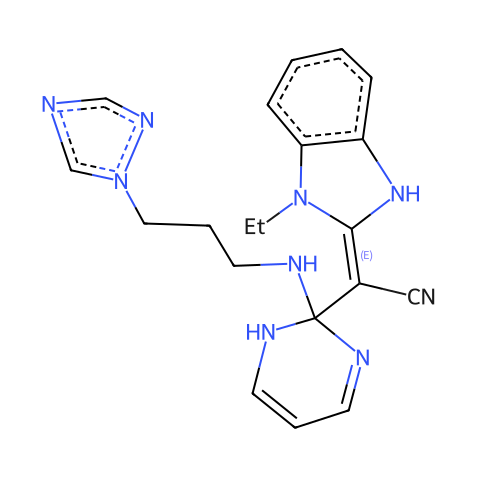 CCN1/C(=C(/C#N)C2(NCCCn3cncn3)N=CC=CN2)Nc2ccccc21